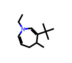 CCN1C=CCC(C)C(C(C)(C)C)=C1